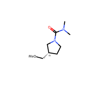 COC[C@H]1CCN(C(=O)N(C)C)C1